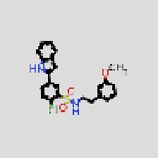 COc1cccc(CCNS(=O)(=O)c2cc(-c3cc4ccccc4[nH]3)ccc2Cl)c1